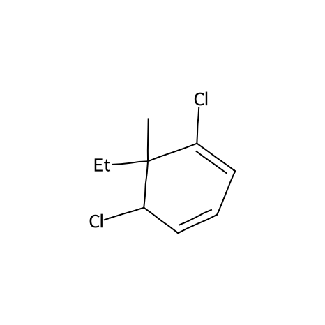 CCC1(C)C(Cl)=CC=CC1Cl